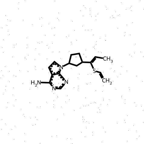 C=CS/C(=C\C)C1CCC(n2ccc3c(N)ncnc32)C1